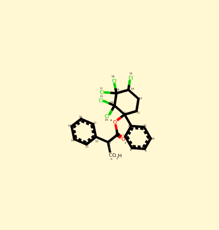 O=C(O)C(C(=O)OC1(c2ccccc2)CCC(Cl)C(Cl)(Cl)C1(Cl)Cl)c1ccccc1